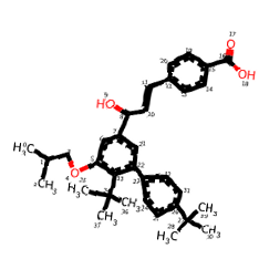 CC(C)COc1cc(C(O)/C=C/c2ccc(C(=O)O)cc2)cc(-c2ccc(C(C)(C)C)cc2)c1C(C)(C)C